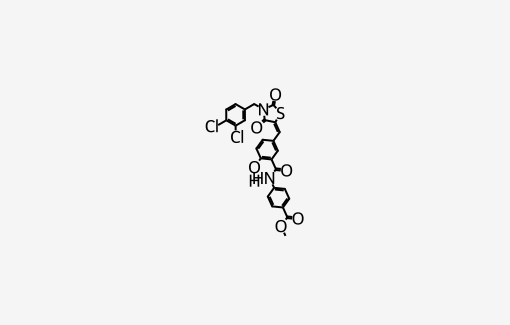 COC(=O)c1ccc(NC(=O)c2cc(/C=C3/SC(=O)N(Cc4ccc(Cl)c(Cl)c4)C3=O)ccc2O)cc1